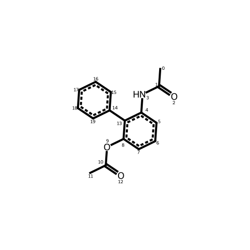 CC(=O)Nc1cccc(OC(C)=O)c1-c1ccccc1